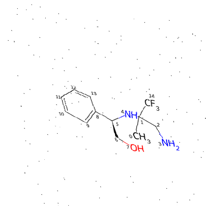 CC(CN)(N[C@@H](CO)c1ccccc1)C(F)(F)F